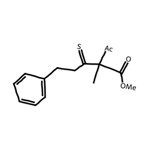 COC(=O)C(C)(C(C)=O)C(=S)CCc1ccccc1